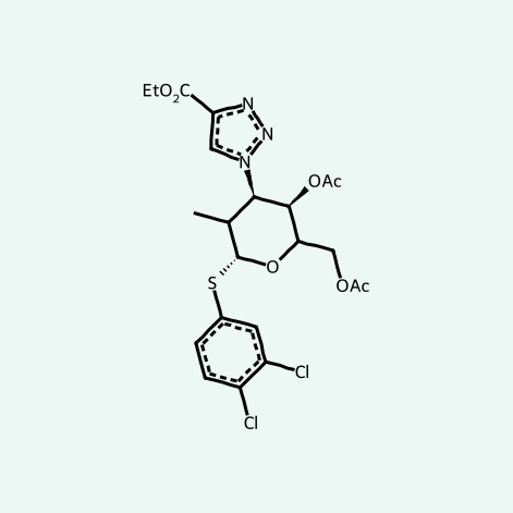 CCOC(=O)c1cn([C@@H]2C(C)[C@@H](Sc3ccc(Cl)c(Cl)c3)OC(COC(C)=O)[C@@H]2OC(C)=O)nn1